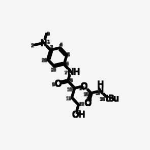 CN(C)c1ccc(NC(=O)C(CCO)OC(=O)NC(C)(C)C)cc1